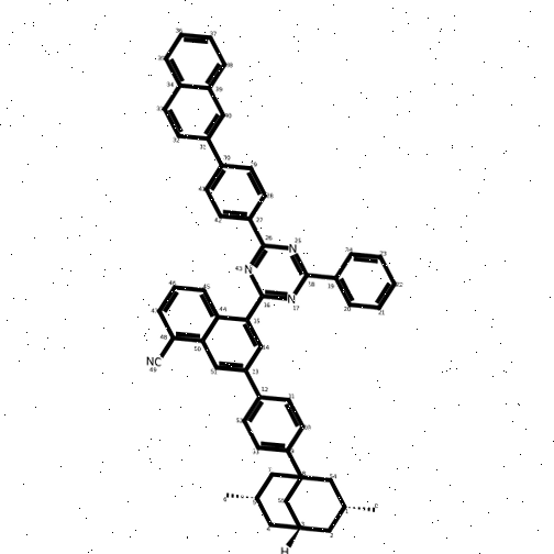 C[C@@H]1C[C@@H]2C[C@H](C)CC(c3ccc(-c4cc(-c5nc(-c6ccccc6)nc(-c6ccc(-c7ccc8ccccc8c7)cc6)n5)c5cccc(C#N)c5c4)cc3)(C1)C2